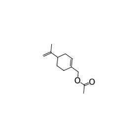 C=C(C)C1CC=C(COC(C)=O)CC1